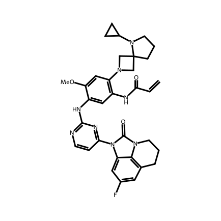 C=CC(=O)Nc1cc(Nc2nccc(-n3c(=O)n4c5c(cc(F)cc53)CCC4)n2)c(OC)cc1N1CC2(CCCN2C2CC2)C1